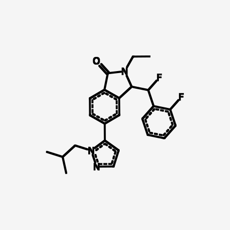 CCN1C(=O)c2ccc(-c3ccnn3CC(C)C)cc2C1C(F)c1ccccc1F